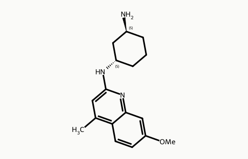 COc1ccc2c(C)cc(N[C@H]3CCC[C@H](N)C3)nc2c1